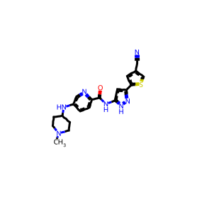 CN1CCC(Nc2ccc(C(=O)Nc3cc(-c4cc(C#N)cs4)n[nH]3)nc2)CC1